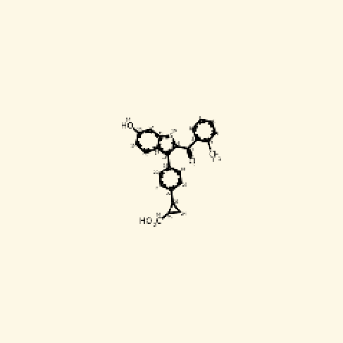 O=C(c1ccccc1C(F)(F)F)c1sc2cc(O)ccc2c1-c1ccc(C2CC2C(=O)O)cc1